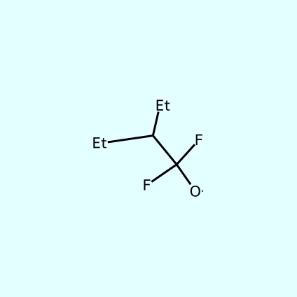 CCC(CC)C([O])(F)F